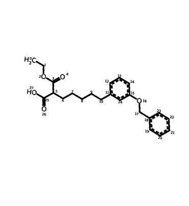 CCOC(=O)C(CCCCCc1cccc(OCc2ccccc2)c1)C(=O)O